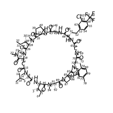 CC[C@H](C)[C@@H]1NC(=O)[C@H](CC(C)C)N(C)C(=O)C[C@@H](C(=O)N(C)C)N(C)C(=O)[C@H]([C@@H](C)CC)N(C)C(=O)C2(CCCC2)NC(=O)[C@H](C)NC(=O)[C@H](CCc2ccc(C(F)(F)F)c(Cl)c2)NC(=O)CN(C)C(=O)[C@H](Cc2ccc(C)cc2)N(C)C(=O)[C@@H]2CCN2C(=O)[C@H](C)N(C)C1=O